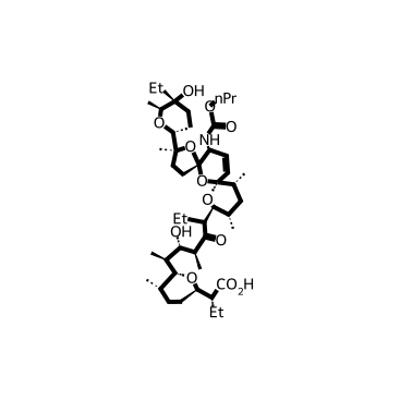 CCCOC(=O)N[C@@H]1C=C[C@]2(O[C@H](C(CC)C(=O)[C@@H](C)[C@@H](O)[C@H](C)[C@@H]3O[C@@H]([C@@H](CC)C(=O)O)CC[C@@H]3C)[C@@H](C)C[C@H]2C)O[C@@]12CC[C@@](C)([C@H]1CC[C@](O)(CC)[C@H](C)O1)O2